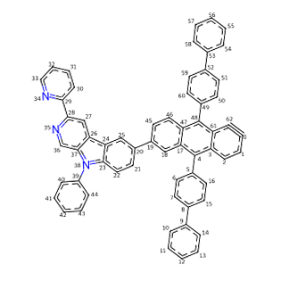 c1ccc2c(-c3ccc(-c4ccccc4)cc3)c3cc(-c4ccc5c(c4)c4cc(-c6ccccn6)ncc4n5-c4ccccc4)ccc3c(-c3ccc(-c4ccccc4)cc3)c2c#1